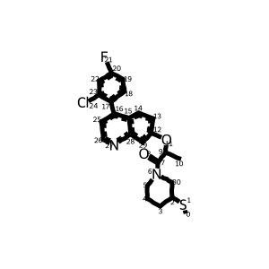 CSC1CCCN(C(=O)C(C)Oc2ccc3c(-c4ccc(F)cc4Cl)ccnc3c2)C1